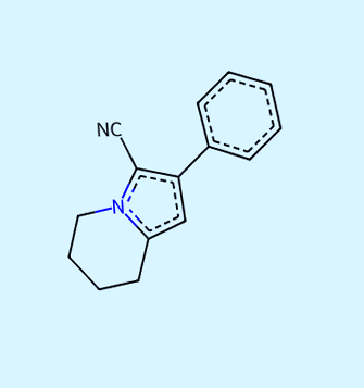 N#Cc1c(-c2ccccc2)cc2n1CCCC2